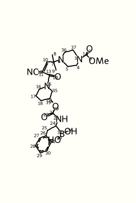 COC(=O)N1CCN(C(C)(C)C=C(C#N)C(=O)N2CCC[C@H](OC(=O)NC(Cc3ccccc3)B(O)O)C2)CC1